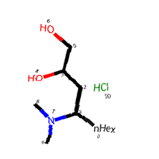 CCCCCCC(CC(O)CO)N(C)C.Cl